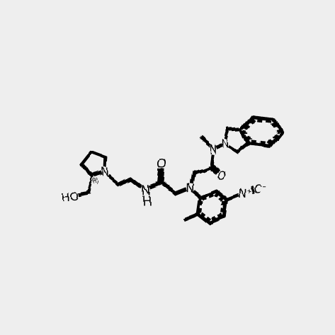 [C-]#[N+]c1ccc(C)c(N(CC(=O)NCCN2CCC[C@@H]2CO)CC(=O)N(C)N2Cc3ccccc3C2)c1